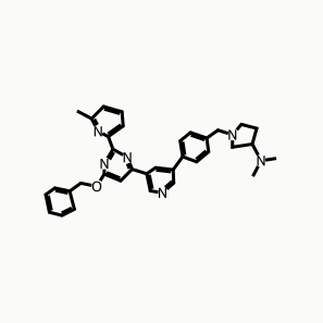 Cc1cccc(-c2nc(OCc3ccccc3)cc(-c3cncc(-c4ccc(CN5CCC(N(C)C)C5)cc4)c3)n2)n1